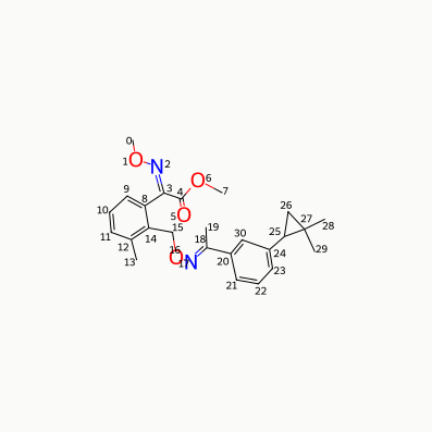 CO/N=C(/C(=O)OC)c1cccc(C)c1CO/N=C(\C)c1cccc(C2CC2(C)C)c1